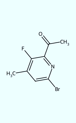 CC(=O)c1nc(Br)cc(C)c1F